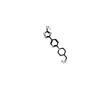 NCC1CCN(c2ccc(-c3noc(C(F)(F)F)n3)cn2)CC1